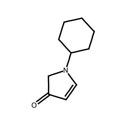 O=C1C=CN(C2CCCCC2)C1